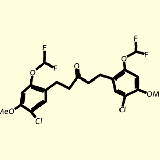 COc1cc(OC(F)F)c(CCC(=O)CCc2cc(Cl)c(OC)cc2OC(F)F)cc1Cl